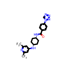 O=C(N[C@H]1CC[C@@H](Nc2cc(C(F)(F)F)nc(C(F)(F)F)c2)CC1)c1ccc(-n2cnnn2)cc1